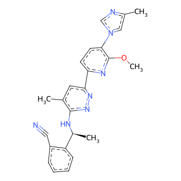 COc1nc(-c2cc(C)c(N[C@@H](C)c3ccccc3C#N)nn2)ccc1-n1cnc(C)c1